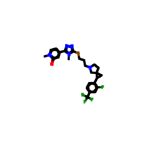 Cn1c(SCCCN2CCC3(CC3c3ccc(C(F)(F)F)cc3F)C2)nnc1-c1ccn(C)c(=O)c1